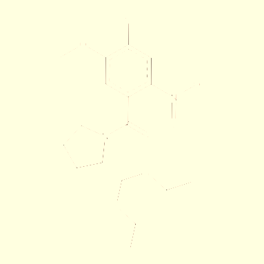 CCSC(SCC)[C@@H]1CCCN1C(=O)c1cc(OC)c(O)cc1[N+](=O)[O-]